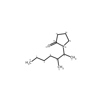 CCCCC(C)C(C)N1CCCC1=O